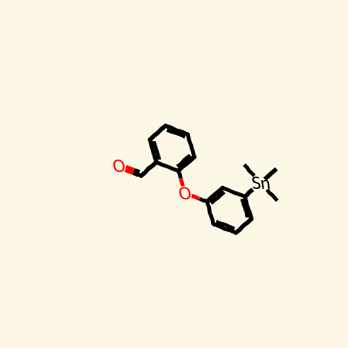 [CH3][Sn]([CH3])([CH3])[c]1cccc(Oc2ccccc2C=O)c1